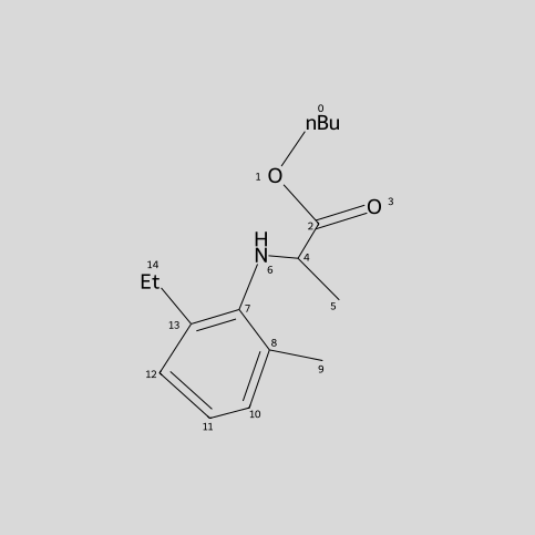 CCCCOC(=O)C(C)Nc1c(C)cccc1CC